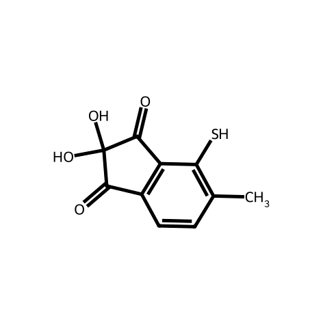 Cc1ccc2c(c1S)C(=O)C(O)(O)C2=O